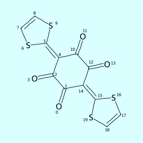 O=c1c(=O)c(=C2SC=CS2)c(=O)c(=O)c1=C1SC=CS1